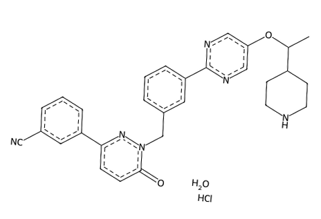 CC(Oc1cnc(-c2cccc(Cn3nc(-c4cccc(C#N)c4)ccc3=O)c2)nc1)C1CCNCC1.Cl.O